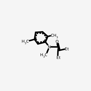 CCC(CC)C(=O)N(C)c1cc(C)ccc1C